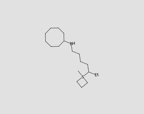 CCC(CCCCBC1CCCCCCC1)S1(C)CCC1